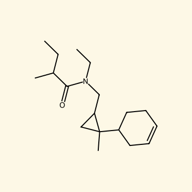 CCC(C)C(=O)N(CC)CC1CC1(C)C1CC=CCC1